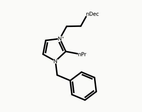 CCCCCCCCCCCC[n+]1ccn(Cc2ccccc2)c1CCC